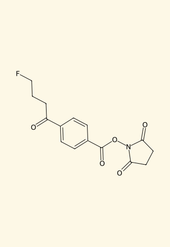 O=C(CCCF)c1ccc(C(=O)ON2C(=O)CCC2=O)cc1